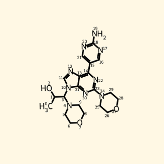 CC(O)C(N1CCOCC1)n1cnc2c(-c3cnc(N)nc3)nc(N3CCOCC3)nc21